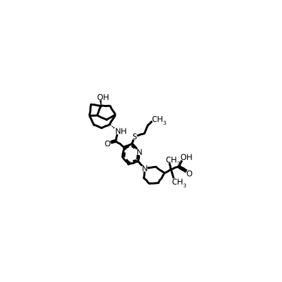 CCCSc1nc(N2CCCC(C(C)(C)C(=O)O)C2)ccc1C(=O)N[C@@H]1CCC2C[C@]3(O)CC1CC23